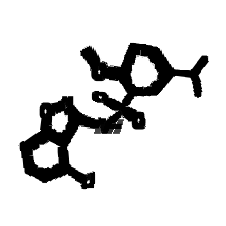 COc1ccc(C(C)C)cc1S(=O)(=O)Nc1noc2cccc(Cl)c12